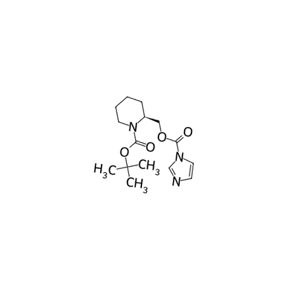 CC(C)(C)OC(=O)N1CCCC[C@H]1COC(=O)n1ccnc1